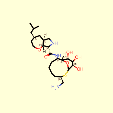 CC(C)C[C@@H]1CCO[C@@H]2[C@H](CN[C@@H]2C(=O)N[C@@H]2CCCC[C@H](CN)SC3O[C@H]2[C@@H](O)C(O)[C@H]3O)C1